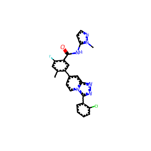 Cc1cc(F)c(C(=O)Nc2ccnn2C)cc1-c1ccn2c(-c3ccccc3Cl)nnc2c1